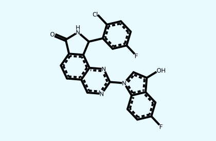 O=C1NC(c2cc(F)ccc2Cl)c2c1ccc1cnc(-n3cc(O)c4cc(F)ccc43)nc21